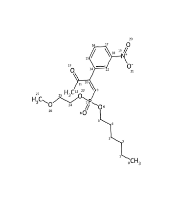 CCCCCCOP(=O)(C=C(C(C)=O)c1cccc([N+](=O)[O-])c1)OCCOC